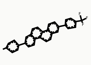 Cc1ccc(-c2ccc3c(ccc4c5ccc(-c6ccc(C(F)(F)F)cc6)cc5ccc34)c2)cc1